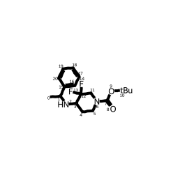 CC(NC1CCN(C(=O)OC(C)(C)C)CC1(F)F)c1ccccc1